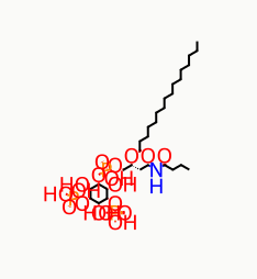 CCCCCCCCCCCCCCCC(=O)O[C@H](CCNC(=O)CCC)COP(=O)(O)OC1C(O)[C@@H](OP(=O)(O)O)C(O)[C@@H](OP(=O)(O)O)[C@H]1O